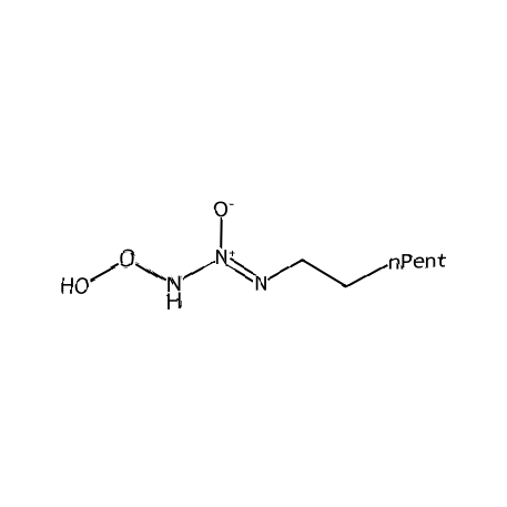 CCCCCCCN=[N+]([O-])NOO